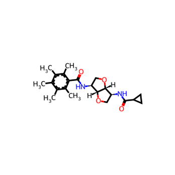 Cc1c(C)c(C)c(C(=O)N[C@H]2CO[C@H]3[C@@H]2OC[C@@H]3NC(=O)C2CC2)c(C)c1C